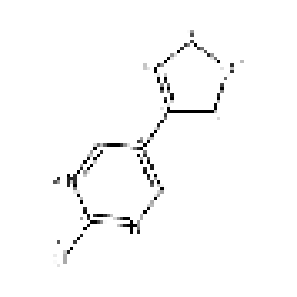 Clc1ncc(C2=CCOC2)cn1